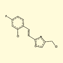 Fc1ccc(C=Cc2nc(CCl)co2)c(Cl)c1